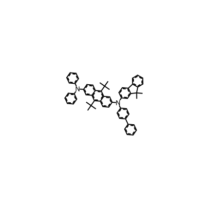 CC(C)(C)c1c2ccc(N(c3ccc(-c4ccccc4)cc3)c3ccc4c(c3)C(C)(C)c3ccccc3-4)cc2c(C(C)(C)C)c2ccc(N(c3ccccc3)c3ccccc3)cc12